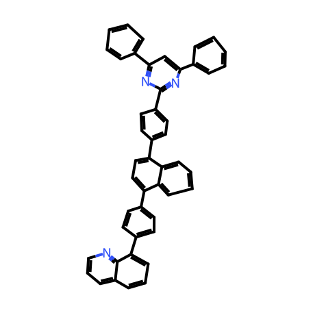 c1ccc(-c2cc(-c3ccccc3)nc(-c3ccc(-c4ccc(-c5ccc(-c6cccc7cccnc67)cc5)c5ccccc45)cc3)n2)cc1